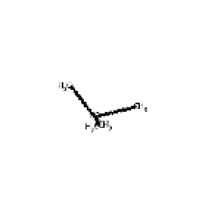 CCCCCC=CCC=CCCCCCCCCOC(CCN(C)C)OCCCCCCCCC=CCC=CCCCCC